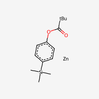 CC(C)(C)C(=O)Oc1ccc([Si](C)(C)C)cc1.[Zn]